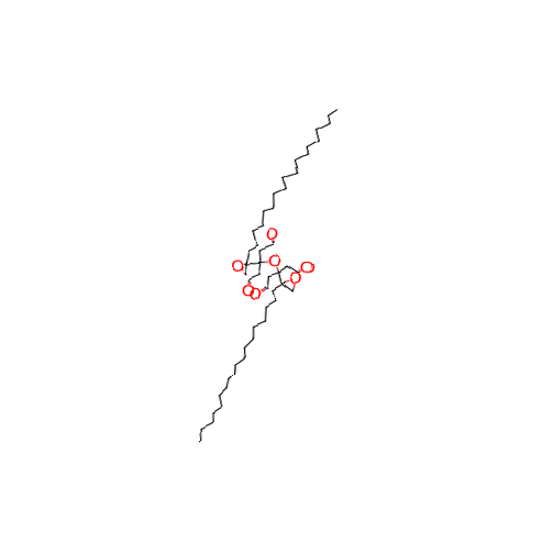 CCCCCCCCCCCCCCCCCCC1(C(CC=O)(CC=O)OC(CC=O)(CC=O)C2(CCCCCCCCCCCCCCCCCC)CO2)CO1